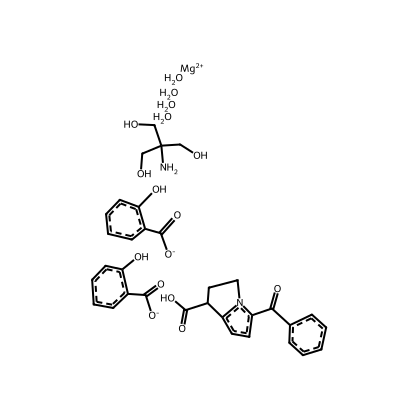 NC(CO)(CO)CO.O.O.O.O.O=C([O-])c1ccccc1O.O=C([O-])c1ccccc1O.O=C(c1ccccc1)c1ccc2n1CCC2C(=O)O.[Mg+2]